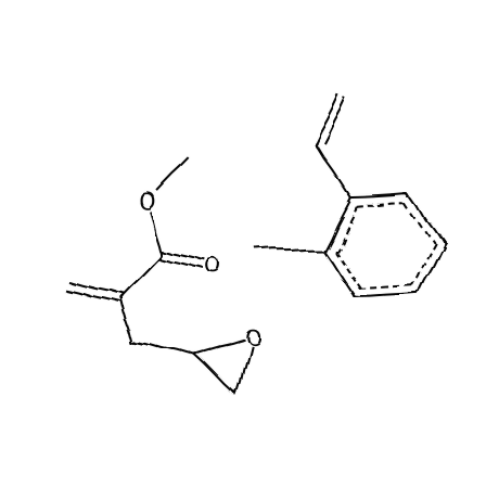 C=C(CC1CO1)C(=O)OC.C=Cc1ccccc1C